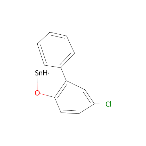 Clc1ccc([O][SnH])c(-c2ccccc2)c1